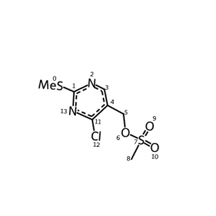 CSc1ncc(COS(C)(=O)=O)c(Cl)n1